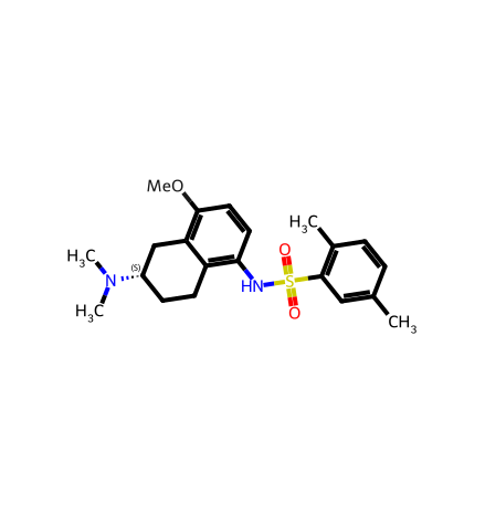 COc1ccc(NS(=O)(=O)c2cc(C)ccc2C)c2c1C[C@@H](N(C)C)CC2